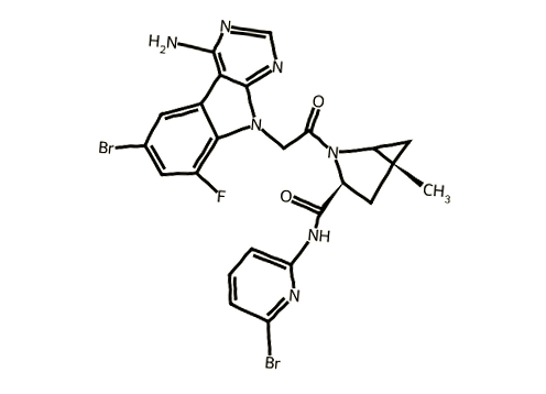 C[C@]12CC1N(C(=O)Cn1c3ncnc(N)c3c3cc(Br)cc(F)c31)[C@H](C(=O)Nc1cccc(Br)n1)C2